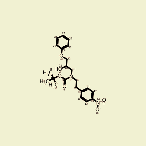 CC(C)(C)OC(=O)N(CCc1ccc([N+](=O)[O-])cc1)CC(O)COc1ccccc1